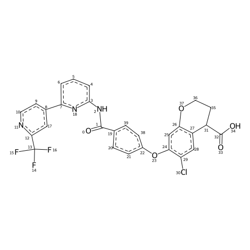 O=C(Nc1cccc(-c2ccnc(C(F)(F)F)c2)n1)c1ccc(Oc2cc3c(cc2Cl)C(C(=O)O)CCO3)cc1